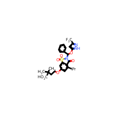 CC(C)c1cc(OCCC(C)(C)C(=O)O)cc2c1C(=O)N(C(Oc1cc(C(F)(F)F)n[nH]1)c1ccccc1)S2(=O)=O